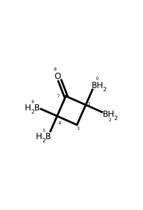 BC1(B)CC(B)(B)C1=O